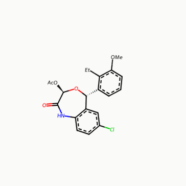 CCc1c(OC)cccc1[C@H]1O[C@H](OC(C)=O)C(=O)Nc2ccc(Cl)cc21